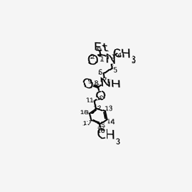 CCC(=O)N(C)CCNC(=O)OCc1ccc(C)cc1